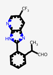 CC(C=O)c1ccccc1-c1nc2cc(C(F)(F)F)cnc2[nH]1